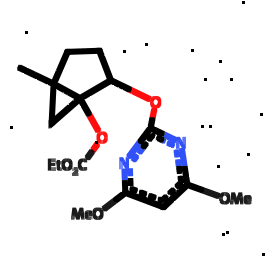 CCOC(=O)OC12CC1(C)CCC2Oc1nc(OC)cc(OC)n1